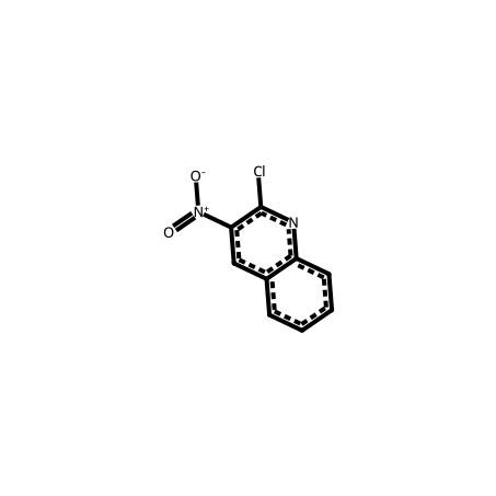 O=[N+]([O-])c1cc2ccccc2nc1Cl